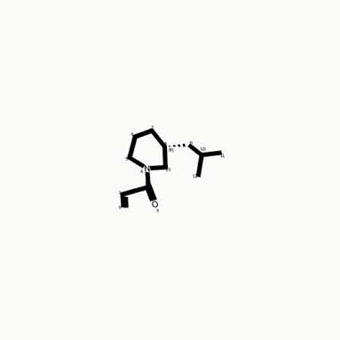 C=CC(=O)N1CCC[C@H](CC(C)C)C1